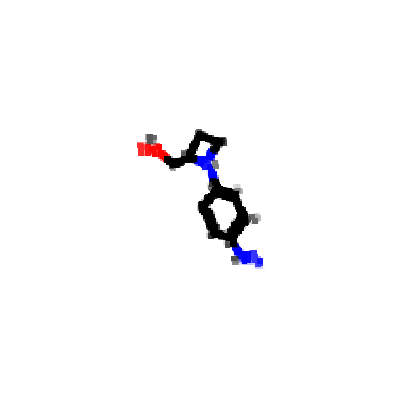 Nc1ccc(N2CCC2CO)cc1